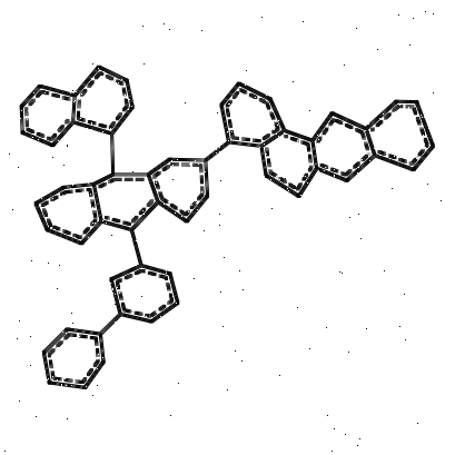 c1ccc(-c2cccc(-c3c4ccccc4c(-c4cccc5ccccc45)c4cc(-c5cccc6c5ccc5cc7ccccc7cc56)ccc34)c2)cc1